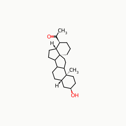 CC(=O)[C@H]1CCC[C@]23CCC4C(CC[C@H]5C[C@H](O)CC[C@]45C)C2CC[C@H]13